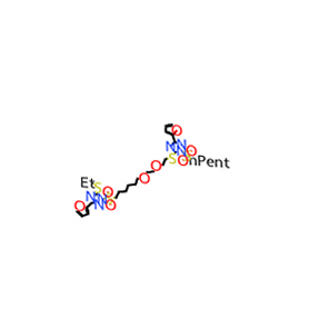 CCCCCS(=O)(=O)n1nc(-c2ccco2)nc1SCCOCCOCCCCCCS(=O)(=O)n1nc(-c2ccco2)nc1SCC